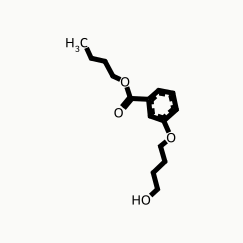 CCCCOC(=O)c1cccc(OCCCCO)c1